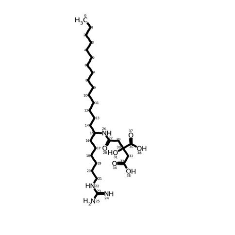 CCCCCCCCCCCCCCCC(CCCCCCNC(=N)N)NC(=O)CC(O)(CC(=O)O)C(=O)O